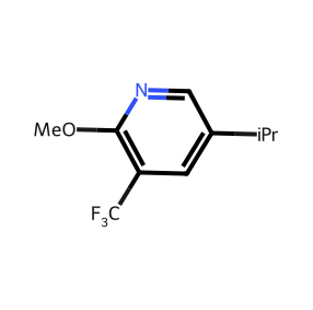 COc1ncc(C(C)C)cc1C(F)(F)F